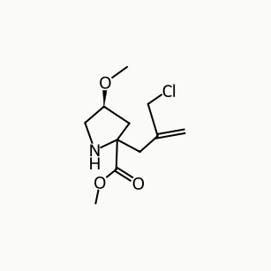 C=C(CCl)CC1(C(=O)OC)C[C@H](OC)CN1